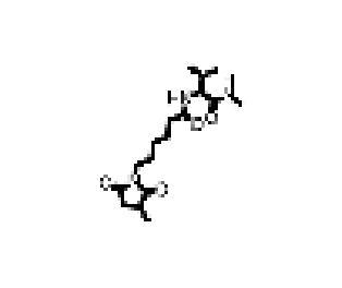 CNC(=O)C(NC(=O)CCCCCN1C(=O)CC(C)C1=O)C(C)C